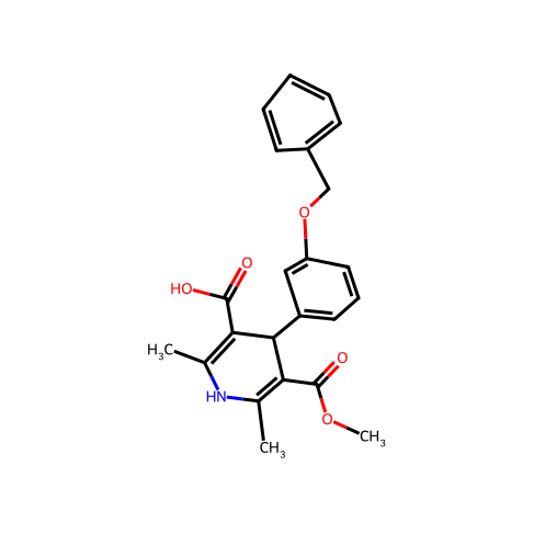 COC(=O)C1=C(C)NC(C)=C(C(=O)O)C1c1cccc(OCc2ccccc2)c1